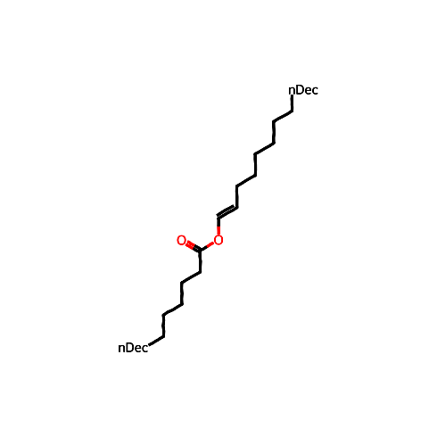 CCCCCCCCCCCCCCCC/C=C/OC(=O)CCCCCCCCCCCCCCC